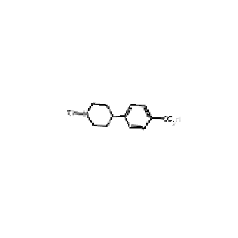 O=C(O)c1ccc(C2CCN(Cl)CC2)cc1